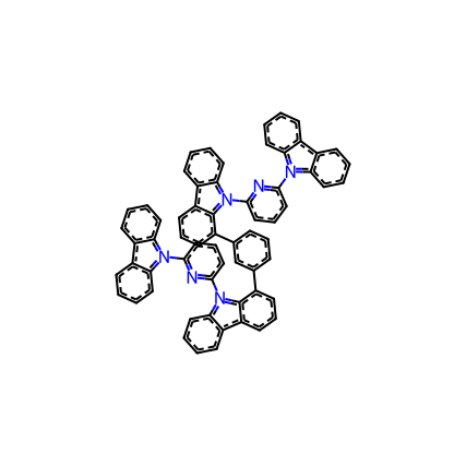 c1cc(-c2cccc3c4ccccc4n(-c4cccc(-n5c6ccccc6c6ccccc65)n4)c23)cc(-c2cccc3c4ccccc4n(-c4cccc(-n5c6ccccc6c6ccccc65)n4)c23)c1